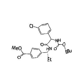 CC[C@@H](NC(=O)C(NC(=O)OC(C)(C)C)c1cccc(Cl)c1)c1ccc(C(=O)OC)cc1